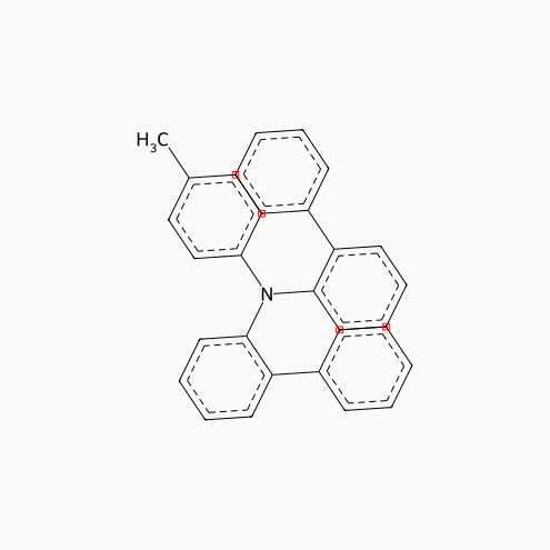 Cc1ccc(N(c2ccccc2-c2ccccc2)c2ccccc2-c2ccccc2)cc1